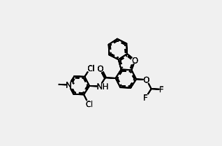 C[n+]1cc(Cl)c(NC(=O)c2ccc(OC(F)F)c3oc4ccccc4c23)c(Cl)c1